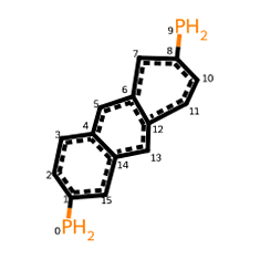 Pc1ccc2cc3cc(P)ccc3cc2c1